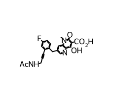 CC(=O)NCC#Cc1cc(F)ccc1Cc1cnc2c(O)c(C(=O)O)c(=O)n(C)c2c1